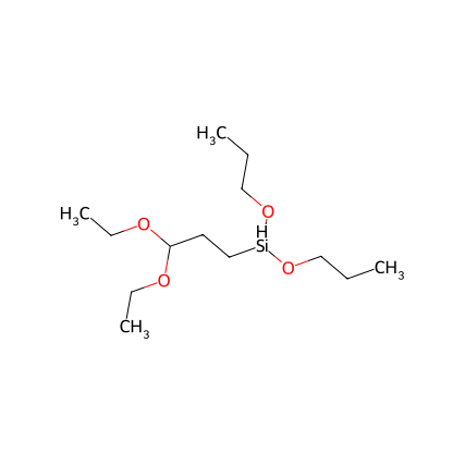 CCCO[SiH](CCC(OCC)OCC)OCCC